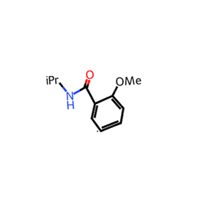 COc1cc[c]cc1C(=O)NC(C)C